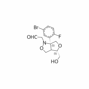 O=CCN1OCC2[C@@H](CO)OC[C@@]21c1cc(Br)ccc1F